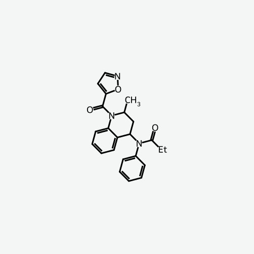 CCC(=O)N(c1ccccc1)C1CC(C)N(C(=O)c2ccno2)c2ccccc21